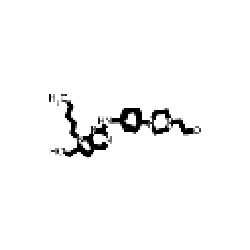 CCCCCn1c(CO)cc2cnc(Nc3ccc(N4CCN(CC=O)CC4)cc3)nc21